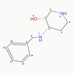 O[C@@H]1CNCC[C@@H]1NCc1ccccc1